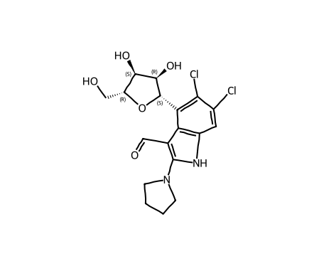 O=Cc1c(N2CCCC2)[nH]c2cc(Cl)c(Cl)c([C@@H]3O[C@H](CO)[C@@H](O)[C@H]3O)c12